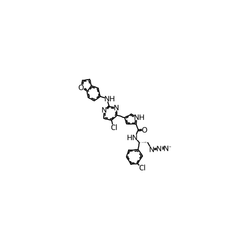 [N-]=[N+]=NC[C@@H](NC(=O)c1cc(-c2nc(Nc3ccc4occc4c3)ncc2Cl)c[nH]1)c1cccc(Cl)c1